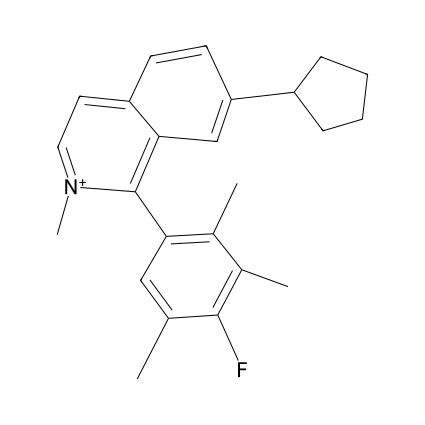 Cc1cc(-c2c3cc(C4CCCC4)ccc3cc[n+]2C)c(C)c(C)c1F